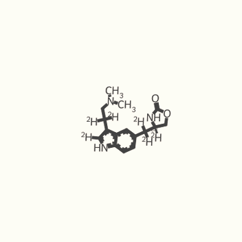 [2H]c1[nH]c2ccc(C([2H])([2H])[C@@]3([2H])COC(=O)N3)cc2c1C([2H])([2H])CN(C)C